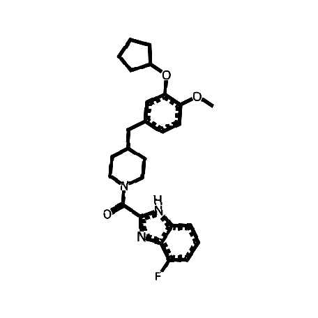 COc1ccc(CC2CCN(C(=O)c3nc4c(F)cccc4[nH]3)CC2)cc1OC1CCCC1